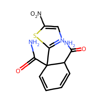 NC(=O)C1C=CC=CC1(C(N)=O)c1ncc([N+](=O)[O-])s1